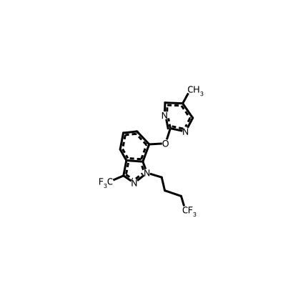 Cc1cnc(Oc2cccc3c(C(F)(F)F)nn(CCCC(F)(F)F)c23)nc1